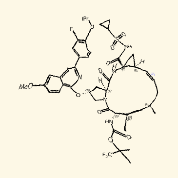 COc1ccc2c(O[C@@H]3C[C@H]4C(=O)N[C@]5(C(=O)NS(=O)(=O)C6CC6)C[C@H]5/C=C\CC[C@@H](C)C[C@@H](C)[C@H](NC(=O)OC(C)(C)C(F)(F)F)C(=O)N4C3)nc(-c3ccc(OC(C)C)c(F)c3)cc2c1